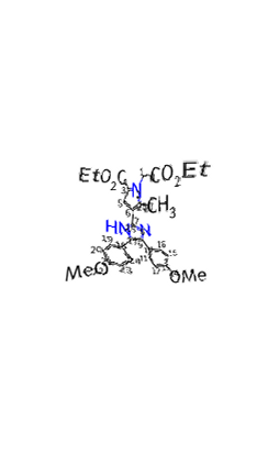 CCOC(=O)Cn1c(C(=O)OCC)cc(-c2nc(-c3ccc(OC)cc3)c(-c3ccc(OC)cc3)[nH]2)c1C